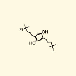 CCC(C)(C)CCCc1cc(O)c(CCCC(C)(C)I)cc1O